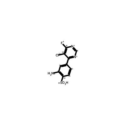 Nc1cc(-c2ncnc(F)c2Cl)ccc1S(=O)(=O)O